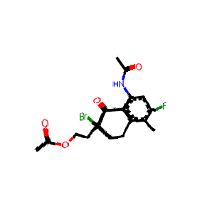 CC(=O)Nc1cc(F)c(C)c2c1C(=O)C(Br)(CCOC(C)=O)CC2